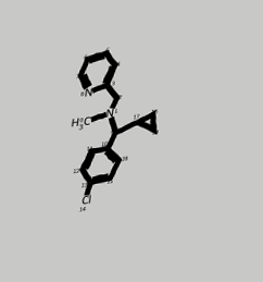 CN(Cc1ccccn1)C(c1ccc(Cl)cc1)C1CC1